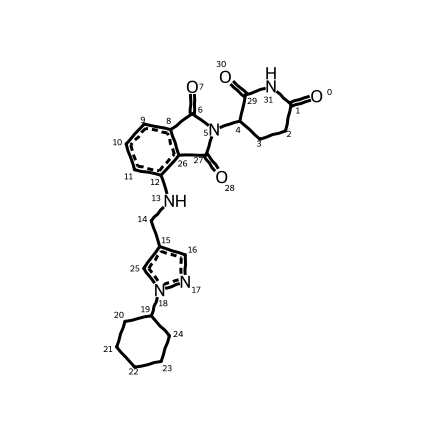 O=C1CCC(N2C(=O)c3cccc(NCc4cnn(C5CCCCC5)c4)c3C2=O)C(=O)N1